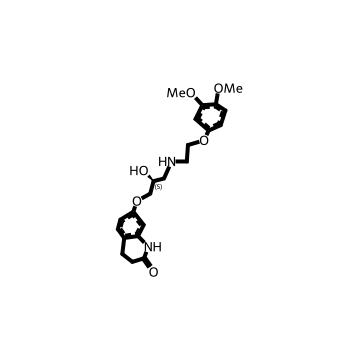 COc1ccc(OCCNC[C@H](O)COc2ccc3c(c2)NC(=O)CC3)cc1OC